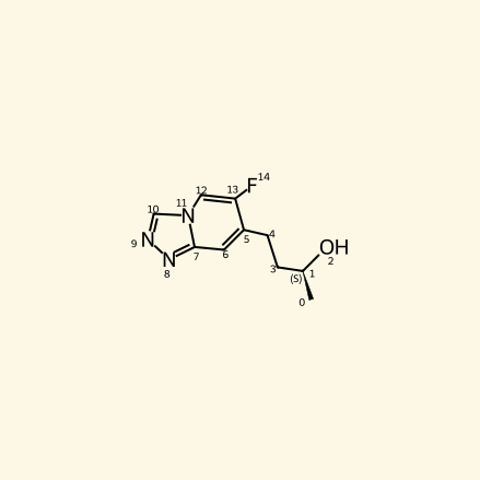 C[C@H](O)CCc1cc2nncn2cc1F